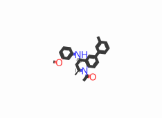 COc1cccc(N[C@@H]2C[C@H](C)N(C(C)=O)c3ccc(-c4cccc(C)c4)cc32)c1